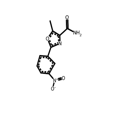 Cc1oc(-c2cccc([N+](=O)[O-])c2)nc1C(N)=O